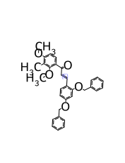 COc1ccc(C(=O)/C=C/c2ccc(OCc3ccccc3)cc2OCc2ccccc2)c(OC)c1C